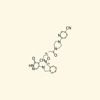 Cc1c(N2Cc3ccccc3[C@H]2[C@@H]2CC[C@H](CC(=O)N3CCN(c4ccc(C#N)cn4)CC3)O2)cn[nH]c1=O